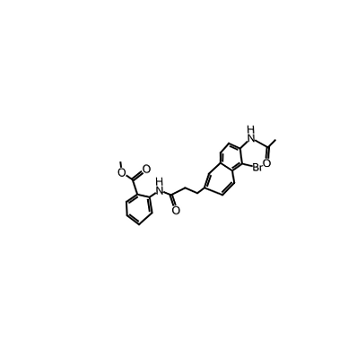 COC(=O)c1ccccc1NC(=O)CCc1ccc2c(Br)c(NC(C)=O)ccc2c1